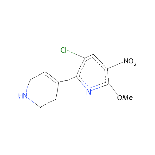 COc1nc(C2=CCNCC2)c(Cl)cc1[N+](=O)[O-]